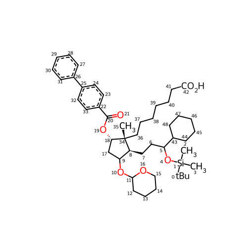 CC(C)(C)[Si](C)(C)OC(CC[C@H]1C(OC2CCCCO2)C[C@H](OC(=O)c2ccc(-c3ccccc3)cc2)[C@]1(C)CCCCCCC(=O)O)C1CCCCC1